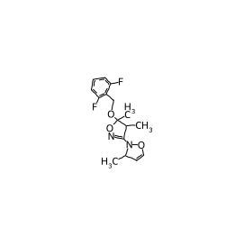 CC1C=CON1C1=NOC(C)(OCc2c(F)cccc2F)C1C